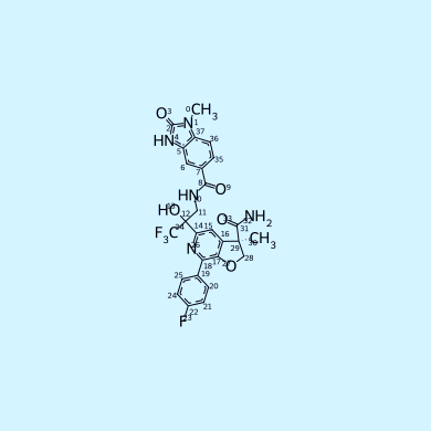 Cn1c(=O)[nH]c2cc(C(=O)NCC(O)(c3cc4c(c(-c5ccc(F)cc5)n3)OC[C@]4(C)C(N)=O)C(F)(F)F)ccc21